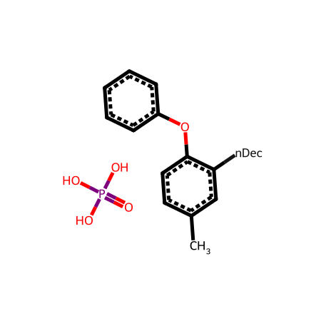 CCCCCCCCCCc1cc(C)ccc1Oc1ccccc1.O=P(O)(O)O